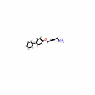 NCC#CCOc1ccc(-c2ccccc2)cc1